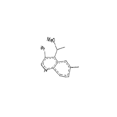 COC(C)c1c(C(C)C)cnc2ccc(C)cc12